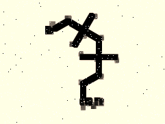 CCOC(=O)CCC(C)(C)CC(C)(C)CBr